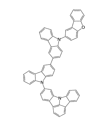 c1ccc2c(c1)oc1ccc(-n3c4ccccc4c4cc(-c5ccc6c(c5)c5ccccc5n6-c5ccc6c7cccc8c9ccccc9n(c6c5)c87)ccc43)cc12